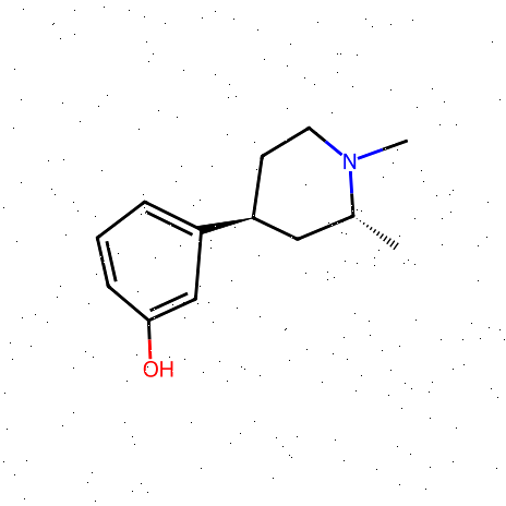 C[C@@H]1C[C@@H](c2cccc(O)c2)CCN1C